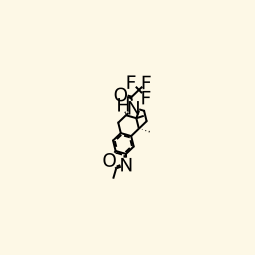 Cc1nc2cc3c(cc2o1)C[C@H]1N(C(=O)C(F)(F)F)CC[C@]3(C)C1(C)C